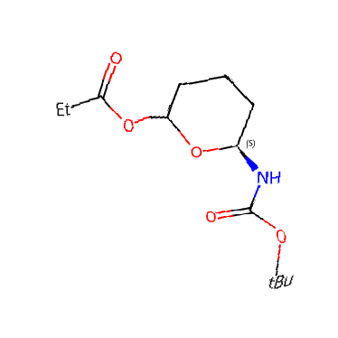 CCC(=O)OC1CCC[C@@H](NC(=O)OC(C)(C)C)O1